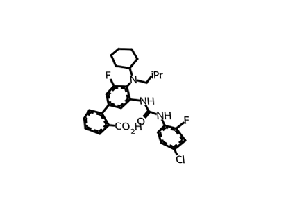 CC(C)CN(c1c(F)cc(-c2ccccc2C(=O)O)cc1NC(=O)Nc1ccc(Cl)cc1F)C1CCCCC1